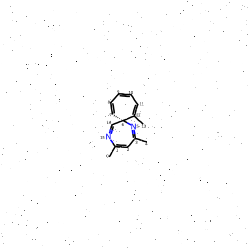 CC1=CC(C)=N[C@@]2(C=CC=CC=C2C)C=N1